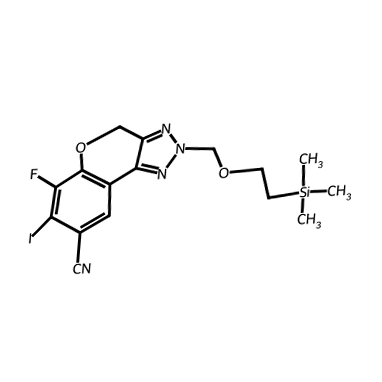 C[Si](C)(C)CCOCn1nc2c(n1)-c1cc(C#N)c(I)c(F)c1OC2